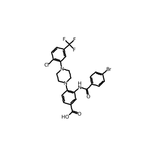 O=C(O)c1ccc(N2CCN(c3cc(C(F)(F)F)ccc3Cl)CC2)c(NC(=O)c2ccc(Br)cc2)c1